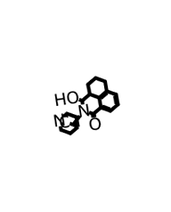 O=C1c2cccc3c2C(CCC3)C(O)N1C1CN2CCC1CC2